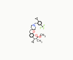 COC(=O)C(C)C(c1ccc2c(c1)OC1(CC2)CCN(Cc2cc(C(F)(F)F)ccc2C2CC2)CC1)C1CC1